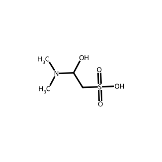 CN(C)C(O)CS(=O)(=O)O